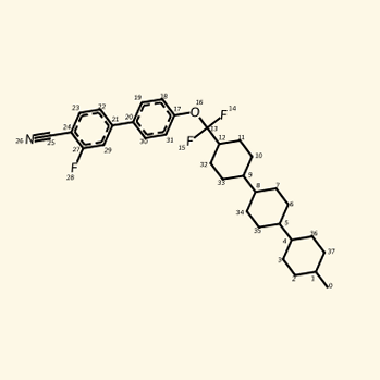 CC1CCC(C2CCC(C3CCC(C(F)(F)Oc4ccc(-c5ccc(C#N)c(F)c5)cc4)CC3)CC2)CC1